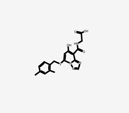 Cc1ccc(CSc2cc(O)c(C(=O)NCC(=O)O)c3ncnn23)c(C)c1